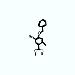 COC(OC)c1cc(Br)c(OCc2ccccc2)cc1C